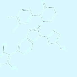 Cc1noc(C)c1-c1ccc2c(c1)nc([C@@H]1CCCC(=O)N1c1ccc(F)c(F)c1)n2-c1ncc(N)s1